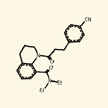 CCN(CC)C(=O)c1cccc2c1N(C(=O)CCc1ccc(C#N)cc1)CCC2